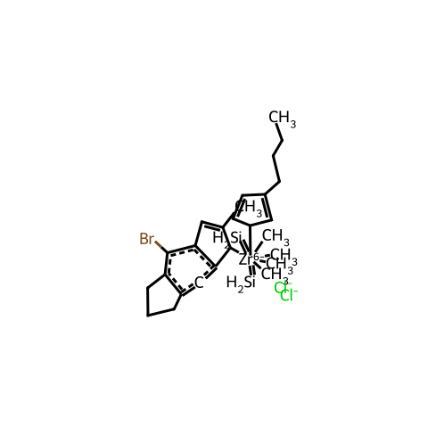 CCCCC1=C[CH]([Zr-6]([CH3])([CH3])([CH3])([CH3])(=[SiH2])(=[SiH2])[CH]2C(C)=Cc3c2cc2c(c3Br)CCC2)C=C1.[Cl-].[Cl-]